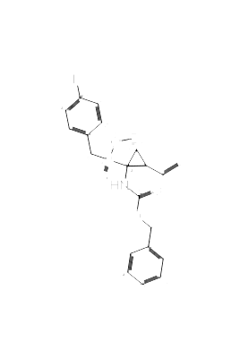 C=CC1CC1(NC(=O)OCc1ccccc1)P(=O)(Cc1ccc(F)cc1)OCC